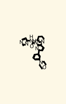 O=C(Nc1ccncn1)N1c2nc(-c3cccc(N4CCOCC4)c3)ccc2N2CCC[C@H]1C2